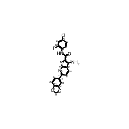 Nc1c(C(=O)Nc2ccc(Cl)cc2F)sc2nc(-c3ccc4c(c3)OCO4)ccc12